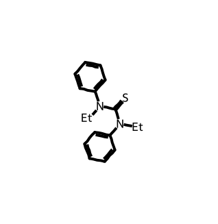 CCN(C(=S)N(CC)c1ccccc1)c1ccccc1